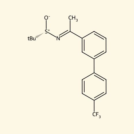 CC(=N[S@@+]([O-])C(C)(C)C)c1cccc(-c2ccc(C(F)(F)F)cc2)c1